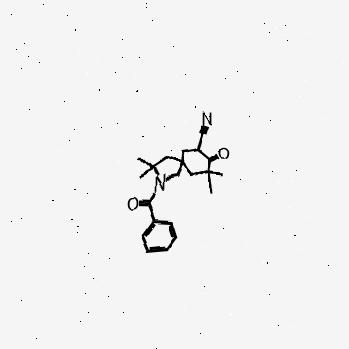 CC1(C)CC2(CC(C#N)C1=O)CN(C(=O)c1ccccc1)C(C)(C)C2